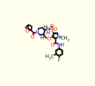 Cc1cc(NC(=O)c2c3c(cn2C)S(=O)(=O)N[C@@H]2CCN(C(=O)C45CC(CO4)C5)C[C@@H]2CO3)ccc1F